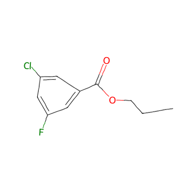 CCCOC(=O)c1cc(F)cc(Cl)c1